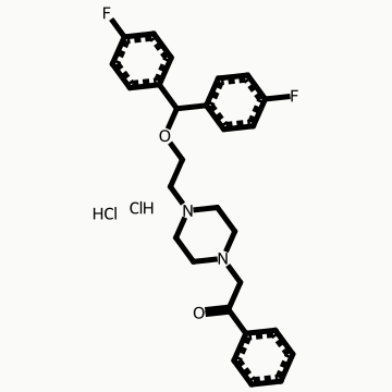 Cl.Cl.O=C(CN1CCN(CCOC(c2ccc(F)cc2)c2ccc(F)cc2)CC1)c1ccccc1